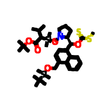 CSC(=S)OC(c1ccc(CO[Si](C)(C)C(C)(C)C)c2ccccc12)[C@@H]1CCCN1O[Si](C)(C)C(C(=O)OC(C)(C)C)C(C)C